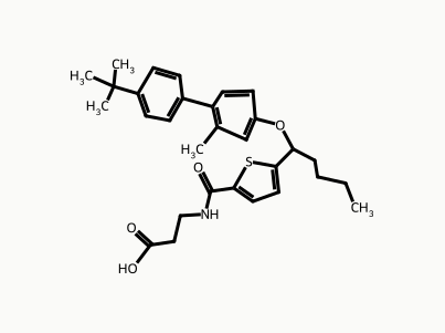 CCCCC(Oc1ccc(-c2ccc(C(C)(C)C)cc2)c(C)c1)c1ccc(C(=O)NCCC(=O)O)s1